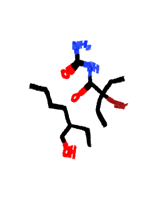 CCC(Br)(CC)C(=O)NC(N)=O.CCCCC(CC)CO